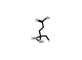 CC(C)C(=O)CCC1(CI)NN1